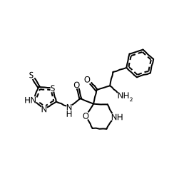 NC(Cc1ccccc1)C(=O)C1(C(=O)Nc2n[nH]c(=S)s2)CNCCO1